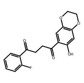 O=C(CCC(=O)c1ccccc1F)c1cc2c(cc1O)OCCO2